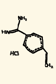 C=Cc1ccc(C(=N)N)cc1.Cl